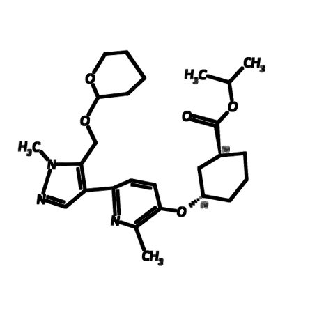 Cc1nc(-c2cnn(C)c2COC2CCCCO2)ccc1O[C@H]1CCC[C@H](C(=O)OC(C)C)C1